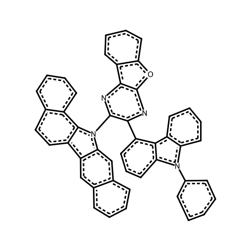 c1ccc(-n2c3ccccc3c3c(-c4nc5oc6ccccc6c5nc4-n4c5cc6ccccc6cc5c5ccc6ccccc6c54)cccc32)cc1